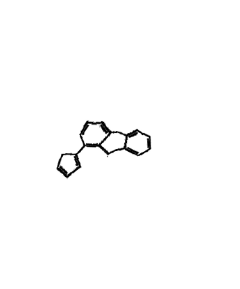 [CH]1c2ccccc2-c2cccc(C3=CC=CC3)c21